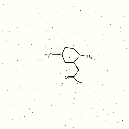 CN1CCN(C)[C@@H](CC(=O)O)C1